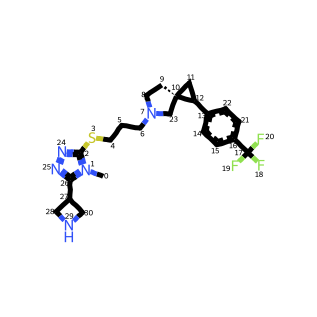 Cn1c(SCCCN2CC[C@@]3(CC3c3ccc(C(F)(F)F)cc3)C2)nnc1C1CNC1